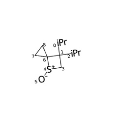 CC(C)C1(C(C)C)C[S+]([O-])C12CC2